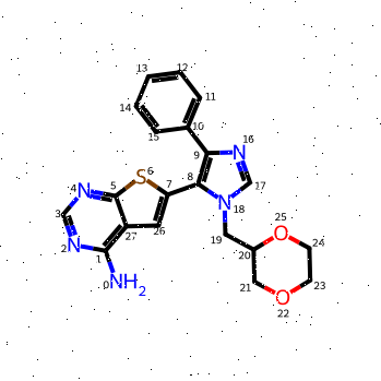 Nc1ncnc2sc(-c3c(-c4ccccc4)ncn3CC3COCCO3)cc12